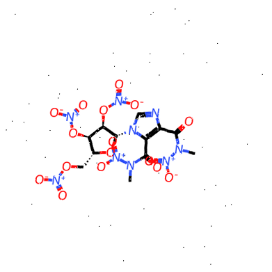 CN(C(=O)c1ncn([C@@H]2O[C@H](CO[N+](=O)[O-])[C@@H](O[N+](=O)[O-])[C@H]2O[N+](=O)[O-])c1C(=O)N(C)[N+](=O)[O-])[N+](=O)[O-]